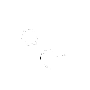 CC[C@H](CCBr)c1ccccc1